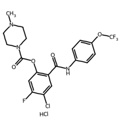 CN1CCN(C(=O)Oc2cc(F)c(Cl)cc2C(=O)Nc2ccc(OC(F)(F)F)cc2)CC1.Cl